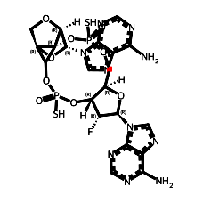 Nc1ncnc2c1ncn2[C@@H]1O[C@@H]2COP(=O)(S)O[C@]34C(OP(=O)(S)O[C@H]2[C@H]1F)[C@]31CO[C@H]4[C@H](n2cnc3c(N)ncnc32)O1